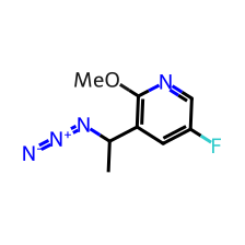 COc1ncc(F)cc1C(C)N=[N+]=[N-]